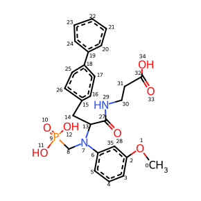 COc1cccc(N(CP(=O)(O)O)C(Cc2ccc(-c3ccccc3)cc2)C(=O)NCCC(=O)O)c1